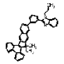 CCCn1c(-c2cccc(-c3ccc4cc5c(cc4c3)C(C)(C)c3c-5c4ccccc4c4ccccc34)c2)nc2ccccc21